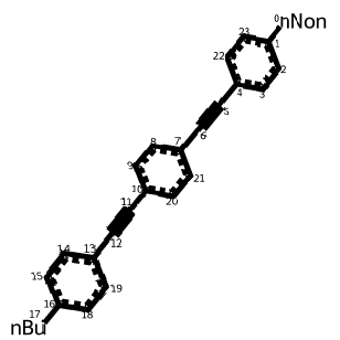 CCCCCCCCCc1ccc(C#Cc2ccc(C#Cc3ccc(CCCC)cc3)cc2)cc1